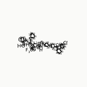 O=C(NS(=O)(=O)c1ccc(N[C@H](CCN2CCOC[C@@H]2CO)CSc2ccccc2)c(S(=O)(=O)C(F)(F)F)c1)c1ccc(N2CCC([C@H](O)c3ccccc3-c3ccc(Cl)cc3)CC2)cc1